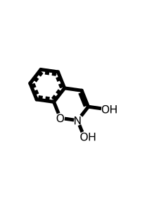 OC1=Cc2ccccc2ON1O